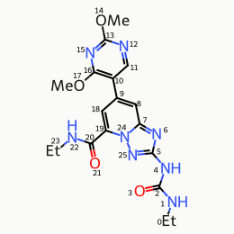 CCNC(=O)Nc1nc2cc(-c3cnc(OC)nc3OC)cc(C(=O)NCC)n2n1